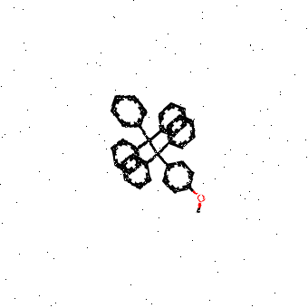 COc1ccc(C(c2ccccc2)(c2ccccc2)C(c2ccccc2)(c2ccccc2)c2ccccc2)cc1